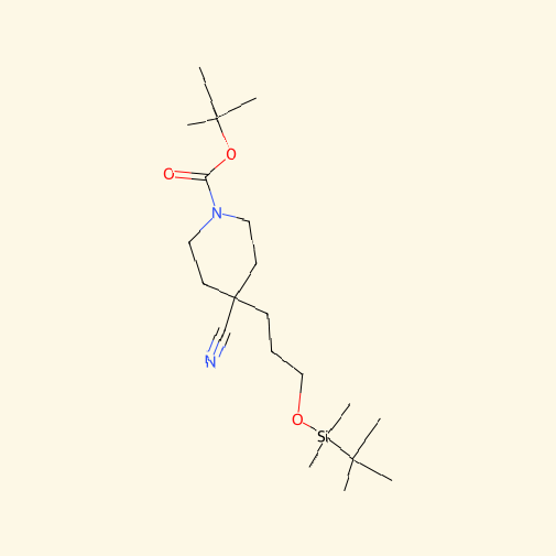 CC(C)(C)OC(=O)N1CCC(C#N)(CCCO[Si](C)(C)C(C)(C)C)CC1